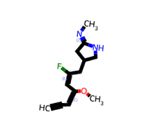 C#C/C=C(\C=C(\F)CC1CN/C(=N\C)C1)OC